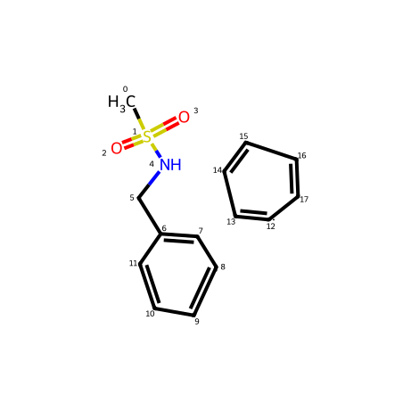 CS(=O)(=O)NCc1c[c]ccc1.[c]1ccccc1